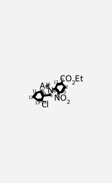 CCOC(=O)c1ccc([N+](=O)[O-])c(N(Cc2ccccc2Cl)C(C)=O)c1